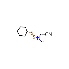 [CH2]N(CC#N)SSC1CCCCC1